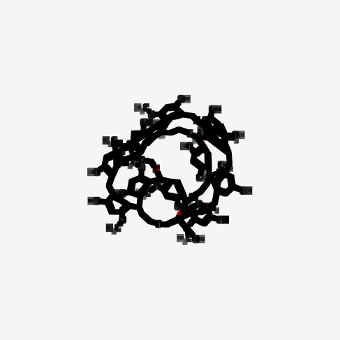 COC1=CC(O)=CC2C3CCCC4c5cc(c(OC)cc5O)[C@@H]5CCC[C@H]6c7cc(c(O)cc7OC)[C@H]7CCC[C@@H]8c9cc(c(O)cc9C)C(CCCC(c9cc3c(OC)cc9O)c3cc(O)cc(C)c3[C@H](CCC[C@@H](c3cc5c(OC)cc3O)[C@@H]12)c1cc8c(O)cc1C)c1cc(c(O)cc1C)Cc1c(O)cc(OC)c7c1CCCc1c(c(O)cc(C)c16)Cc1cc4c(OC)cc1O